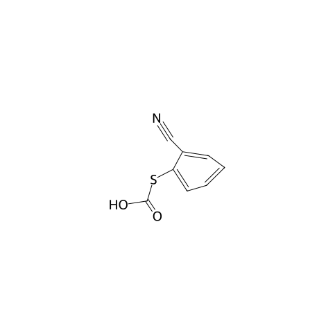 N#Cc1ccccc1SC(=O)O